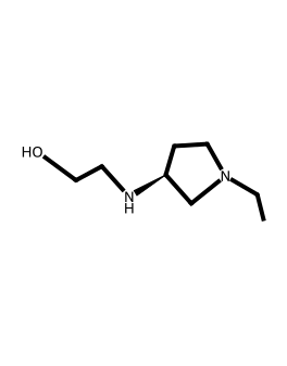 CCN1CC[C@H](NCCO)C1